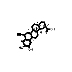 C#CC1C=C2[C@@](C)(CC[C@@]3(C)[C@@H]4C[C@](C)(C(=O)O)CC[C@]4(C)CC[C@]23C)c2cc(O)c(O)c(C)c21